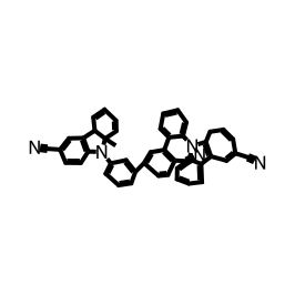 CC12C=CC=CC1c1cc(C#N)ccc1N2c1cccc(-c2ccc(C#N)c(-c3ccccc3-n3c4c(c5ccccc53)C=C(C#N)C=CC4)c2)c1